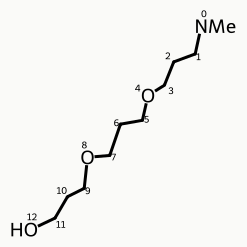 CNCCCOCCCOCCCO